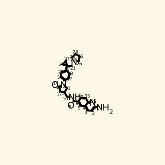 Nc1ccc2cc(C(=O)NCC3CC(=O)N(c4ccc(C5(CN6CCCC6)CC5)cc4)C3)ccc2n1